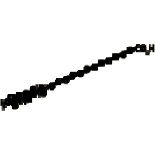 N#C[C@@H]1CC(F)(F)CN1C(=O)CNC(=O)c1ccnc2c(NC(=O)CCC(=O)NCCOCCOCCOCCOCCOCCOCCOCCOCCOCCOCCOCCOCCC(=O)O)cccc12